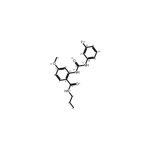 CCCNC(=O)c1ccc(OC)cc1NC(=O)Nc1cccc(F)c1